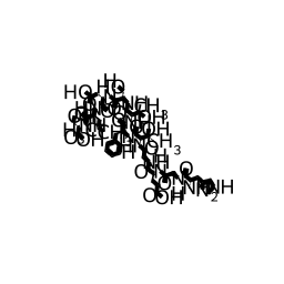 CC(C)C[C@H](NC(=O)[C@H](CC(=O)O)NC(=O)[C@H](CO)NC(=O)[C@@H](NC(=O)[C@H](Cc1ccccc1)NC(=O)[C@@H](NC(=O)CNC(=O)[C@H](CCC(=O)O)NC(=O)CNC(=O)[C@@H](N)Cc1c[nH]cn1)[C@@H](C)O)[C@@H](C)O)C(=O)N[C@@H](CO)C(=O)O